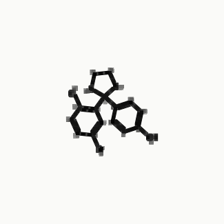 Oc1ccc(C2(c3cc(Br)ccc3Cl)SCCS2)cc1